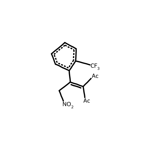 CC(=O)C(C(C)=O)=C(C[N+](=O)[O-])c1ccccc1C(F)(F)F